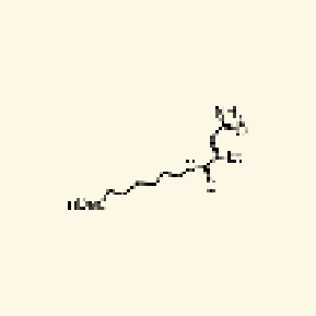 CCCCCCCCCCCCCCCCOC(=O)C(=CC(N)=O)CC